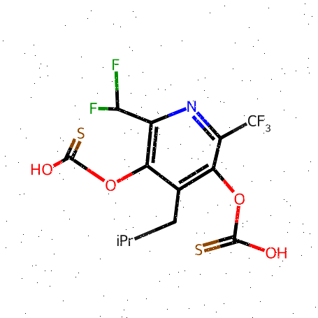 CC(C)Cc1c(OC(O)=S)c(C(F)F)nc(C(F)(F)F)c1OC(O)=S